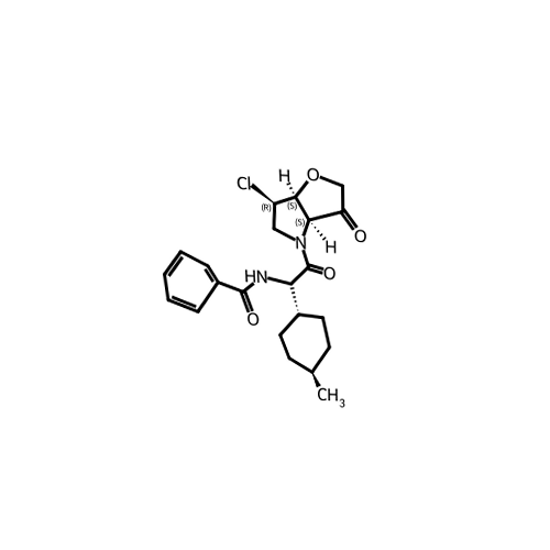 C[C@H]1CC[C@H](C(NC(=O)c2ccccc2)C(=O)N2C[C@@H](Cl)[C@H]3OCC(=O)[C@H]32)CC1